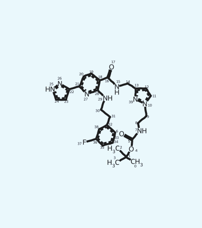 CC(C)(C)OC(=O)NCCn1ccc(CNC(=O)c2ccc(-c3cc[nH]n3)nc2NCCc2cccc(F)c2)n1